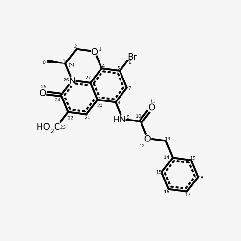 C[C@H]1COc2c(Br)cc(NC(=O)OCc3ccccc3)c3cc(C(=O)O)c(=O)n1c23